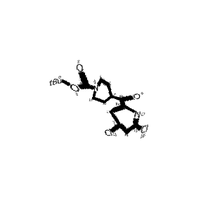 CC(C)(C)OC(=O)N1CCC(C(=O)c2cc(Cl)cc(Cl)n2)CC1